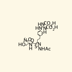 CC(=O)Nc1nc(CCc2ccc(NC(NC(=O)O)NC(=O)O)cc2)c(C(=O)N[C@@H](CO)C(=O)N(C)C)s1